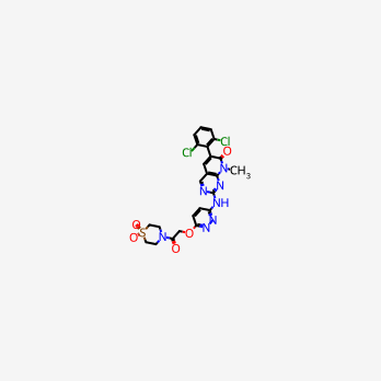 Cn1c(=O)c(-c2c(Cl)cccc2Cl)cc2cnc(Nc3ccc(OCC(=O)N4CCS(=O)(=O)CC4)nn3)nc21